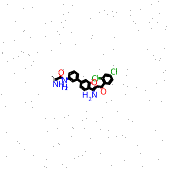 C[C@@H](N)C(=O)Nc1cccc(-c2ccc3c(N)c(C(=O)c4ccc(Cl)cc4Cl)oc3c2)c1